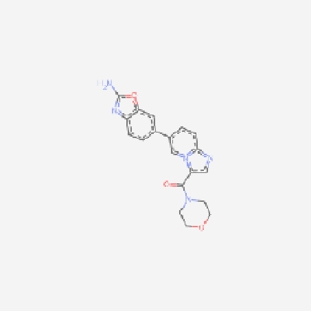 Nc1nc2ccc(-c3ccc4ncc(C(=O)N5CCOCC5)n4c3)cc2o1